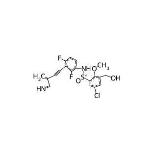 C=C(C#Cc1c(F)ccc(N[S+]([O-])c2cc(Cl)cc(CO)c2OC)c1F)C=N